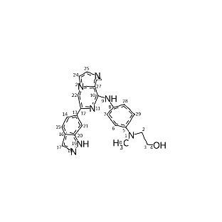 CN(CCO)c1ccc(Nc2nc(-c3ccc4cn[nH]c4c3)cn3ccnc23)cc1